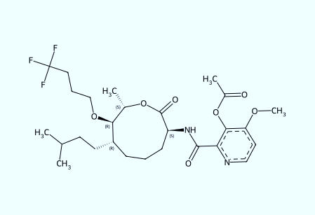 COc1ccnc(C(=O)N[C@H]2CCC[C@H](CCC(C)C)[C@@H](OCCCC(F)(F)F)[C@H](C)OC2=O)c1OC(C)=O